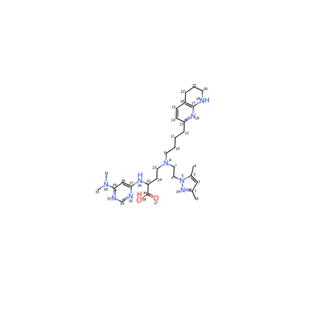 Cc1cc(C)n(CCN(CCCCc2ccc3c(n2)NCCC3)CCC(Nc2cc(N(C)C)ncn2)C(=O)O)n1